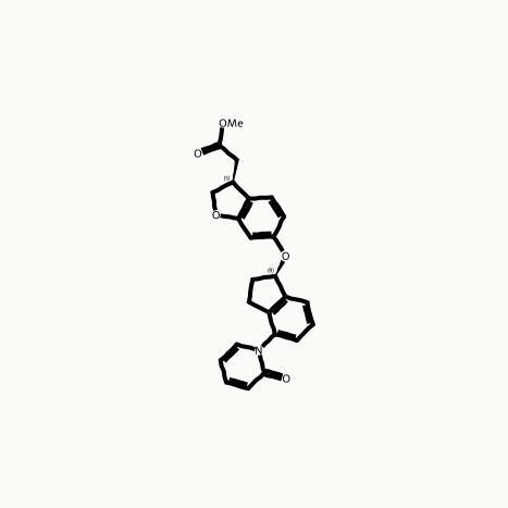 COC(=O)C[C@@H]1COc2cc(O[C@@H]3CCc4c3cccc4-n3ccccc3=O)ccc21